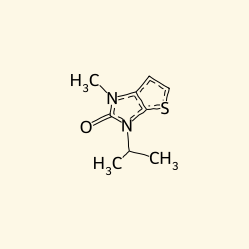 CC(C)n1c(=O)n(C)c2ccsc21